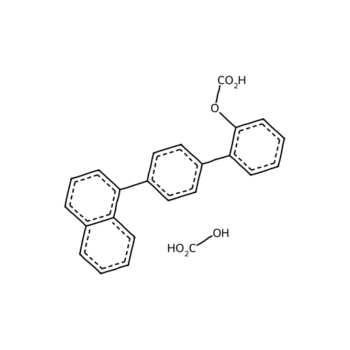 O=C(O)O.O=C(O)Oc1ccccc1-c1ccc(-c2cccc3ccccc23)cc1